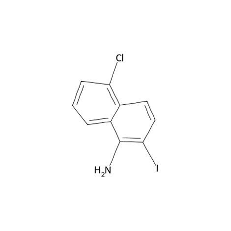 Nc1c(I)ccc2c(Cl)cccc12